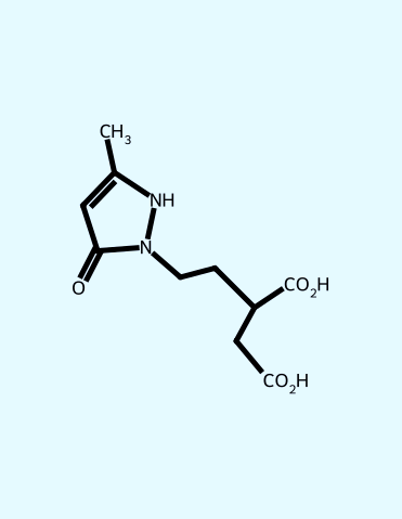 Cc1cc(=O)n(CCC(CC(=O)O)C(=O)O)[nH]1